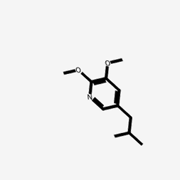 COc1cc(CC(C)C)cnc1OC